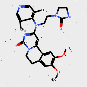 COc1cc2c(cc1OC)-c1cc(N(CCN3CCNC3=O)c3c(C)cncc3C)nc(=O)n1CC2